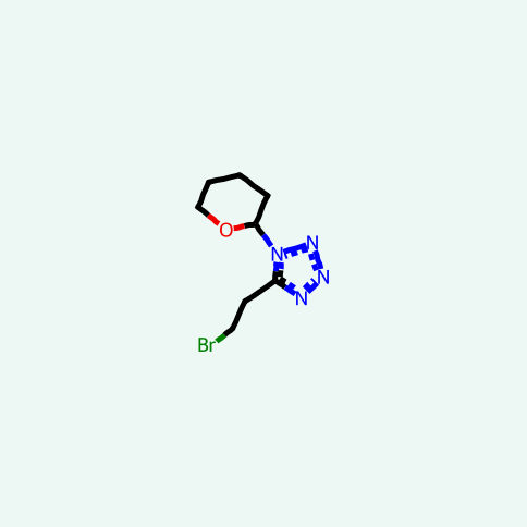 BrCCc1nnnn1C1CCCCO1